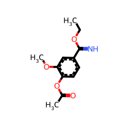 CCOC(=N)c1ccc(OC(C)=O)c(OC)c1